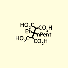 CCCCCC(CC)(C(C(=O)O)C(=O)O)C(C(=O)O)C(=O)O